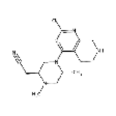 C[C@@H]1CN(C)[C@@H](CC#N)CN1c1nc(Cl)nc2c1CCNC2